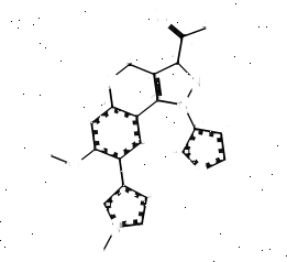 COc1cc2c(cc1-c1ccn(C)c1)C1=C(CO2)C(C(C)=O)NN1c1ccsc1